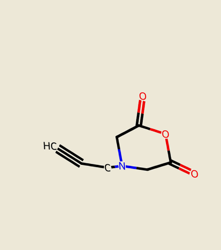 C#CCN1CC(=O)OC(=O)C1